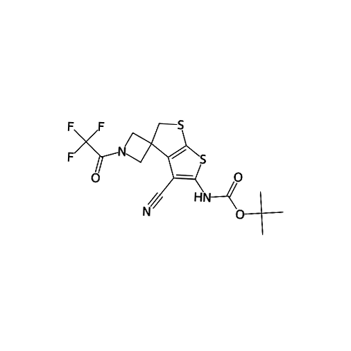 CC(C)(C)OC(=O)Nc1sc2c(c1C#N)C1(CS2)CN(C(=O)C(F)(F)F)C1